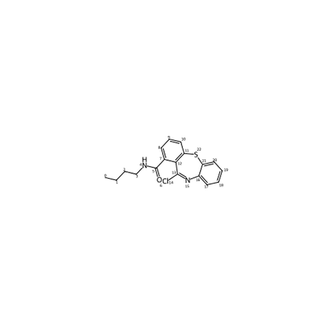 CCCCNC(=O)c1cccc2c1C(Cl)=Nc1ccccc1S2